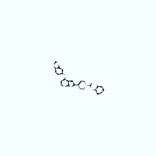 O=C(Nc1ccccc1F)N1CC=C(c2cc3c(Nc4ccc5ncsc5c4)ccnc3[nH]2)CC1